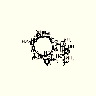 CC(C)C[C@@H]1NC(=O)[C@@H](Cc2ccccc2)NC(=O)[C@H](CCN)NC(=O)[C@@H](NC(=O)[C@H](CCN)NC(=O)[C@@H](NC(=O)[C@@H](O)[C@@H](N)CC(C)C)C(C)O)CCNC(=O)[C@H](C(C)O)NC(=O)[C@H](CCN)NC(=O)[C@H](CCN)NC1=O